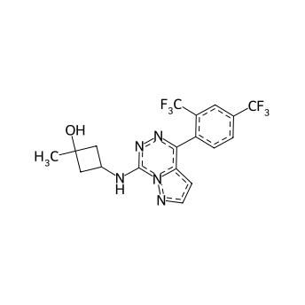 CC1(O)CC(Nc2nnc(-c3ccc(C(F)(F)F)cc3C(F)(F)F)c3ccnn23)C1